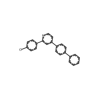 Clc1ccc(-c2cc(-c3ccc(-c4ccccc4)cc3)ccn2)cc1